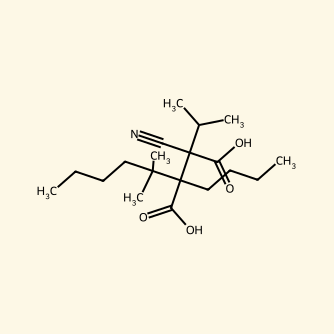 CCCCC(C)(C)C(CCCC)(C(=O)O)C(C#N)(C(=O)O)C(C)C